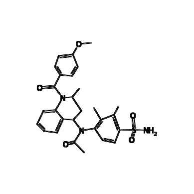 COc1ccc(C(=O)N2c3ccccc3C(N(C(C)=O)c3ccc(S(N)(=O)=O)c(C)c3C)CC2C)cc1